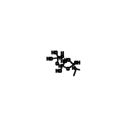 CC(C)[PH](O)(O)O[PH](O)(O)O[PH](O)(O)O